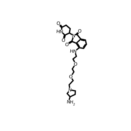 NC1CCN(CCOCCOCCNc2cccc3c2C(=O)N(C2CCC(=O)NC2=O)C3=O)C1